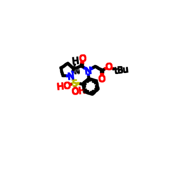 CC(C)(C)OC(=O)CN1C(=O)[C@@H]2CCCN2S(O)(O)c2ccccc21